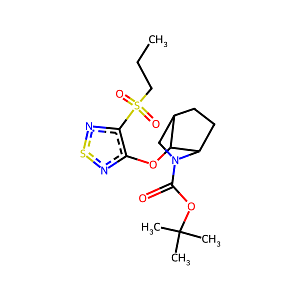 CCCS(=O)(=O)c1nsnc1OC1C2CCC1N(C(=O)OC(C)(C)C)C2